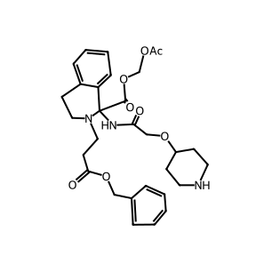 CC(=O)OCOC(=O)C1(NC(=O)COC2CCNCC2)c2ccccc2CCN1CCC(=O)OCc1ccccc1